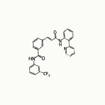 O=C(C=Cc1cccc(C(=O)Nc2cccc(C(F)(F)F)c2)c1)Nc1ccccc1-c1ccccn1